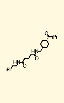 CC(C)CCNC(=O)CCCC(=O)NC[C@H]1CC[C@H](C(=O)C(C)C)CC1